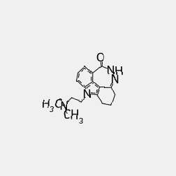 CN(C)CCn1c2c3c4c(cccc41)C(=O)NN=C3CCC2